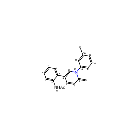 C=C1C=CC(c2ccccc2NC(C)=O)=CN1c1cccc(C)c1